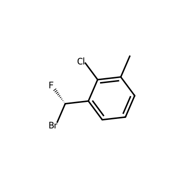 Cc1cccc([C@@H](F)Br)c1Cl